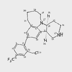 FC(F)(F)c1ccc(-c2cc3c4c(c2)[C@@H]2CNCC[C@@H]2N4CCCC3)c(Cl)c1